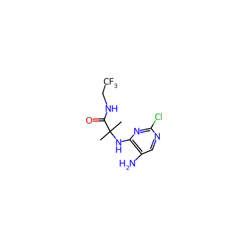 CC(C)(Nc1nc(Cl)ncc1N)C(=O)NCC(F)(F)F